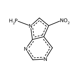 O=[N+]([O-])c1cn(P)c2ncncc12